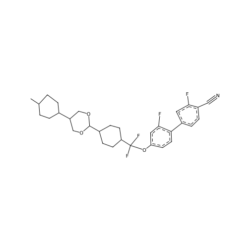 CC1CCC(C2COC(C3CCC(C(F)(F)Oc4ccc(-c5ccc(C#N)c(F)c5)c(F)c4)CC3)OC2)CC1